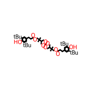 CC(C)(C)c1cc(CCC(=O)OCC(C)(C)C2COC3(OC2)OCC(C(C)(C)COC(=O)CCc2cc(C(C)(C)C)c(O)c(C(C)(C)C)c2)CO3)cc(C(C)(C)C)c1O